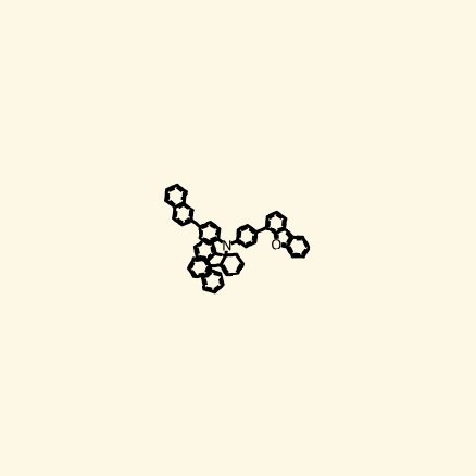 C1=CCC(c2ccccc2-c2ccccc2)(N(c2ccc(-c3ccc4ccccc4c3)cc2)c2ccc(-c3cccc4c3oc3ccccc34)cc2)C(c2ccccc2)=C1